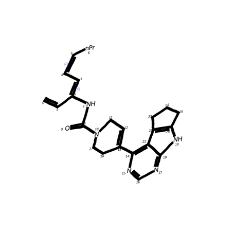 C=C/C(=C\C=C/CCC)NC(=O)N1CC=C(c2ncnc3[nH]c4c(c23)CCC4)CC1